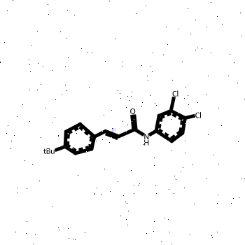 CC(C)(C)c1ccc(/C=C/C(=O)Nc2ccc(Cl)c(Cl)c2)cc1